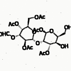 CC(=O)OC[C@H]1O[C@H](O[C@@H]2[C@@H](OC(C)=O)O[C@@H](CO)[C@@H](O)[C@@H]2OC(C)=O)[C@@H](OC(C)=O)[C@H](OC=O)[C@@H]1OC(C)=O